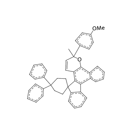 COc1ccc(C2(C)C=Cc3c4c(c5ccccc5c3O2)-c2ccccc2C42CCC(c3ccccc3)(c3ccccc3)CC2)cc1